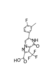 Cc1cc(-c2cn3nc(C(=O)O)c(C(F)(F)F)c3c(=O)[nH]2)ccc1F